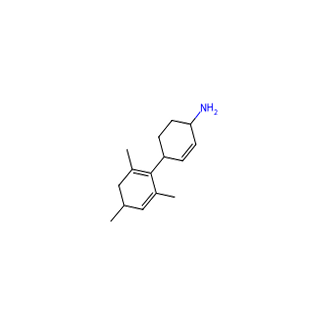 CC1=CC(C)CC(C)=C1C1C=CC(N)CC1